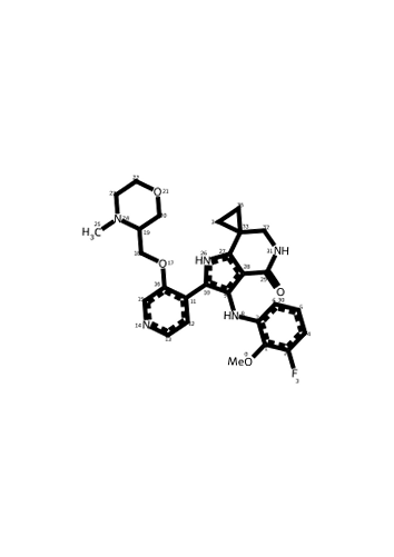 COc1c(F)cccc1Nc1c(-c2ccncc2OCC2COCCN2C)[nH]c2c1C(=O)NCC21CC1